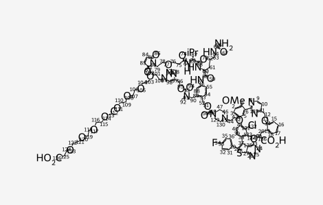 COc1ccccc1-c1nccc(COc2ccccc2C[C@@H](Oc2ncnc3sc(-c4ccc(F)cc4)c(-c4ccc(OCCN5CCN(C(=O)OCc6ccc(NC(=O)[C@H](CCCNC(N)=O)NC(=O)[C@@H](NC(=O)CCOCCN7C(=O)C=CC7=O)C(C)C)cc6CN(C)C(=O)OCc6cn(CCOCCOCCOCCOCCOCCOCCOCCOCCC(=O)O)nn6)CC5)c(Cl)c4C)c23)C(=O)O)n1